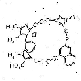 Cc1c2c(nn1C)CCCc1cc(n(C)n1)CSc1cc(c3ccccc3c1)OCCCc1c(C(=O)O)n(C)c3c-2c(Cl)ccc13